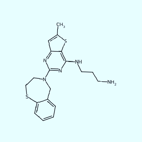 Cc1cc2nc(N3CCSc4ccccc4C3)nc(NCCCN)c2s1